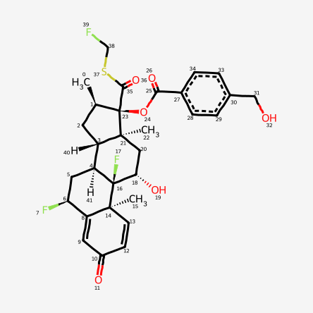 C[C@@H]1C[C@H]2[C@@H]3C[C@H](F)C4=CC(=O)C=C[C@]4(C)[C@@]3(F)[C@@H](O)C[C@]2(C)[C@@]1(OC(=O)c1ccc(CO)cc1)C(=O)SCF